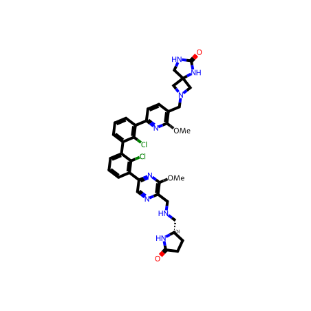 COc1nc(-c2cccc(-c3cccc(-c4cnc(CNC[C@@H]5CCC(=O)N5)c(OC)n4)c3Cl)c2Cl)ccc1CN1CC2(CNC(=O)N2)C1